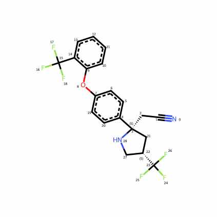 N#CC[C@]1(c2ccc(Oc3ccccc3C(F)(F)F)cc2)C[C@H](C(F)(F)F)CN1